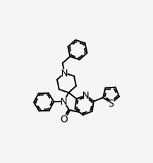 CC(=O)N(c1ccccc1)C1(c2cccc(-c3cccs3)n2)CCN(Cc2ccccc2)CC1